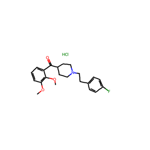 COc1cccc(C(=O)C2CCN(CCc3ccc(F)cc3)CC2)c1OC.Cl